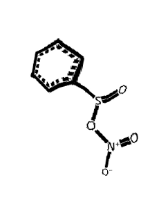 O=[N+]([O-])OS(=O)c1ccccc1